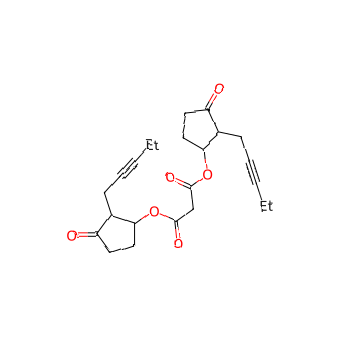 CCC#CCC1C(=O)CCC1OC(=O)CC(=O)OC1CCC(=O)C1CC#CCC